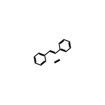 C(=Cc1ccccc1)c1ccccc1.C=C